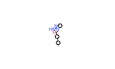 Cn1c(=N)n(CC(=O)c2ccc(-c3ccccc3)cc2)c2ccccc21